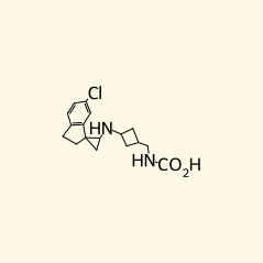 O=C(O)NCC1CC(NC2CC23CCc2ccc(Cl)cc23)C1